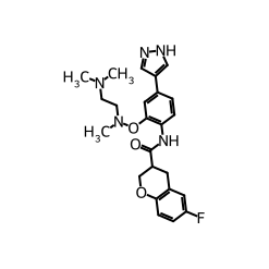 CN(C)CCN(C)Oc1cc(-c2cn[nH]c2)ccc1NC(=O)C1COc2ccc(F)cc2C1